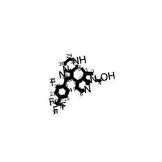 Cc1cn(CO)c2nccc(-c3c(-c4ccc(C(F)(F)F)cc4F)nn4c3CNCC4)c12